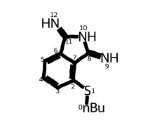 CCCCSc1cccc2c1C(=N)NC2=N